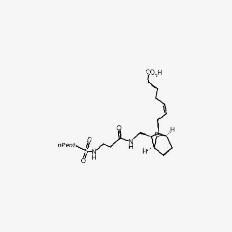 CCCCCS(=O)(=O)NCCC(=O)NC[C@H]1[C@@H](C/C=C\CCCC(=O)O)[C@H]2CC[C@@H]1O2